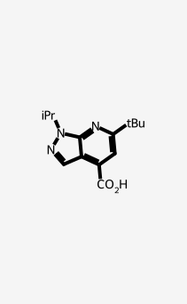 CC(C)n1ncc2c(C(=O)O)cc(C(C)(C)C)nc21